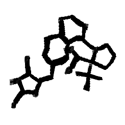 CC(C)(C)[C@@]1(C(=O)O)CCCN1c1ncnc2ccc(C=C3SC(=O)NC3=O)cc12